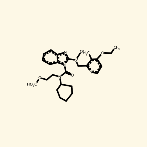 Cc1c(OCC(F)(F)F)ccnc1C[S+]([O-])c1nc2ccccc2n1C(=O)N(CCOC(=O)O)C1CCCCC1